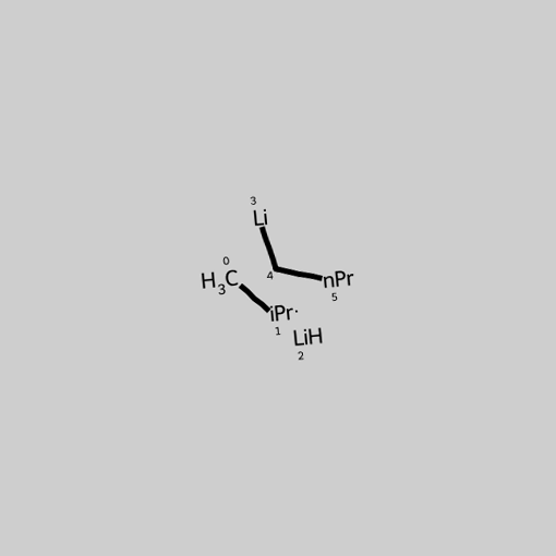 C[C](C)C.[LiH].[Li][CH2]CCC